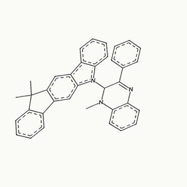 CN1c2ccccc2N=C(c2ccccc2)C1n1c2ccccc2c2cc3c(cc21)-c1ccccc1C3(C)C